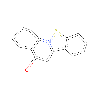 O=c1cc2c3ccccc3sn2c2ccccc12